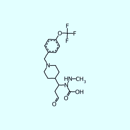 CNN(C(=O)O)C(CC=O)C1CCN(Cc2ccc(OC(F)(F)F)cc2)CC1